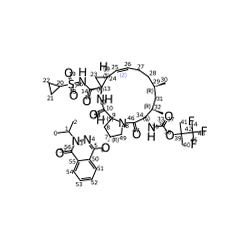 CC(C)n1nc(O[C@@H]2C[C@H]3C(=O)N[C@]4(C(=O)NS(=O)(=O)C5CC5)C[C@H]4/C=C\CC[C@@H](C)C[C@@H](C)[C@H](NC(=O)OC(C)(C)C(F)(F)F)C(=O)N3C2)c2ccccc2c1=O